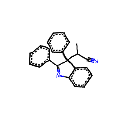 CC(C#N)C1(c2ccccc2)C(c2ccccc2)=Nc2ccccc21